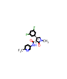 CN1C[C@H](c2cc(F)cc(F)c2)[C@@H](C(=O)Nc2ccc(C(F)(F)F)nc2)C1=O